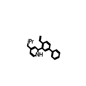 C=Cc1ccc(-c2ccccc2)cc1C1C=C(CC(C)C)C=CN1